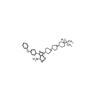 CC(C)(C)N1CCC(N2CCC(N3CCC(n4nc(-c5ccc(Oc6ccccc6)cc5)c5c(N)ncnc54)CC3)CC2)CC1